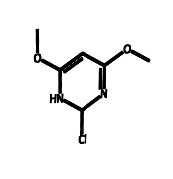 COC1=CC(OC)=NC(Cl)N1